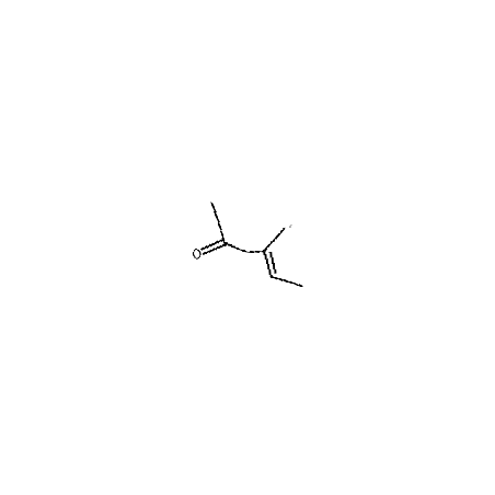 [CH2]/C(=C\C)C(C)=O